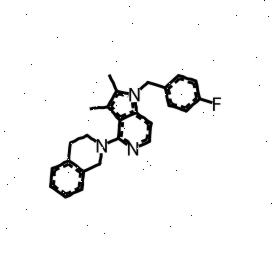 Cc1c(C)n(Cc2ccc(F)cc2)c2ccnc(N3CCc4ccccc4C3)c12